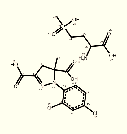 CC1(C(=O)O)CC(C(=O)O)=NN1c1ccc(Cl)cc1Cl.CP(=O)(O)CCC(N)C(=O)O